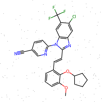 COc1cccc(C=Cc2nc3cc(Cl)c(C(F)(F)F)cc3n2-c2ccc(C#N)cn2)c1OC1CCCC1